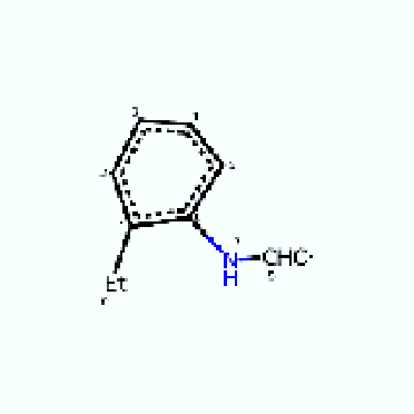 CCc1ccccc1N[C]=O